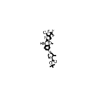 COc1cc(N2CCN(C(=O)OC(C)(C)C)C(C)C2)ccc1Nc1ncc(C(F)(F)F)c(Cl)n1